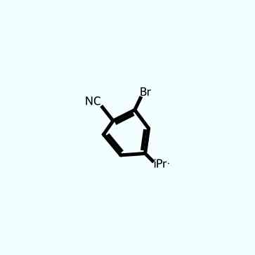 C[C](C)c1ccc(C#N)c(Br)c1